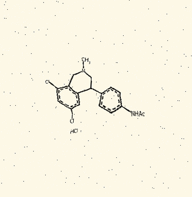 CC(=O)Nc1ccc(C2CN(C)Cc3c(Cl)cc(Cl)cc32)cc1.Cl